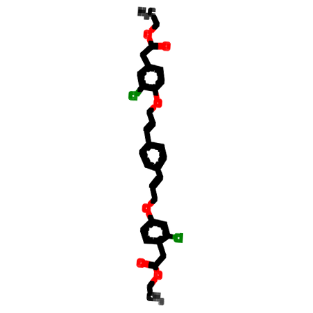 CCOC(=O)Cc1ccc(OC/C=C/c2ccc(/C=C/COc3ccc(CC(=O)OCC)c(Cl)c3)cc2)c(Cl)c1